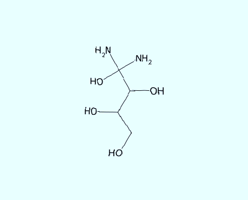 NC(N)(O)C(O)C(O)CO